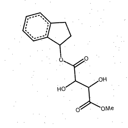 COC(=O)C(O)C(O)C(=O)OC1CCc2ccccc21